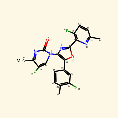 CNc1nc(=O)n(-c2nc(-c3nc(C)ccc3F)oc2-c2ccc(C)c(F)c2)cc1F